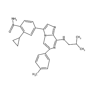 Cc1ccc(-c2cn3c(-c4ccc(C(N)=O)c(C5CC5)c4)cnc3c(NCC(C)C)n2)cc1